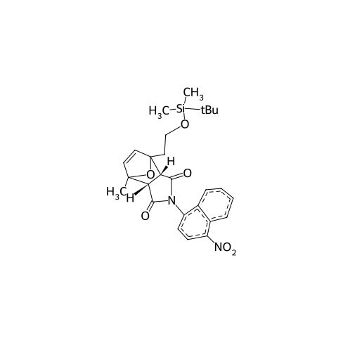 CC12C=CC(CCO[Si](C)(C)C(C)(C)C)(O1)[C@@H]1C(=O)N(c3ccc([N+](=O)[O-])c4ccccc34)C(=O)[C@@H]12